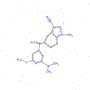 C=C(c1cc(SC)nc(N(C)C)c1)c1ccc2c(c1)c(C#N)cn2C